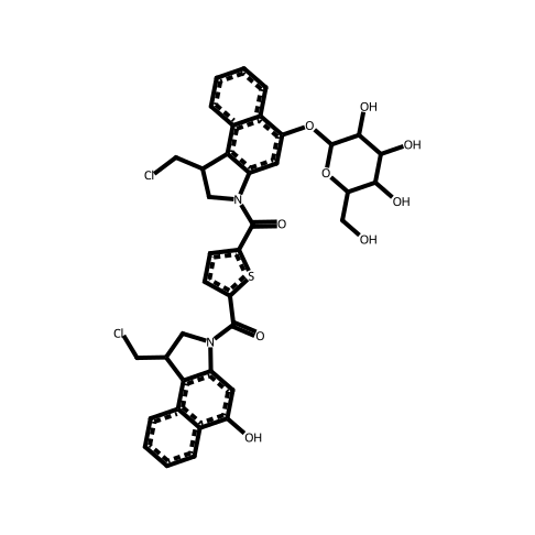 O=C(c1ccc(C(=O)N2CC(CCl)c3c2cc(OC2OC(CO)C(O)C(O)C2O)c2ccccc32)s1)N1CC(CCl)c2c1cc(O)c1ccccc21